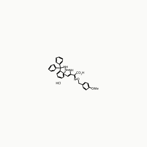 COc1ccc(CO/N=C(\C(=O)O)C2=CSN(NC(c3ccccc3)(c3ccccc3)c3ccccc3)N2)cc1.Cl